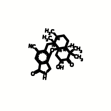 C[C@H]1CC[C@H]2C(C)(C)C(=O)[C@H](O)C[C@]23Oc2c(c(C#N)cc4c2CNC4=O)C[C@]13C